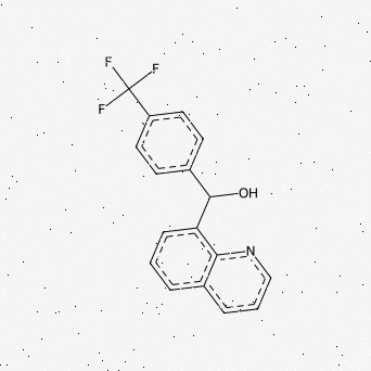 OC(c1ccc(C(F)(F)F)cc1)c1cccc2cccnc12